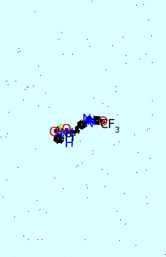 Cc1cccc(N2C(=O)CS/C2=N\C(=O)NCCC(C)Cc2ccc(-c3ncn(-c4ccc(OC(F)(F)F)cc4)n3)cc2)c1C(C)C